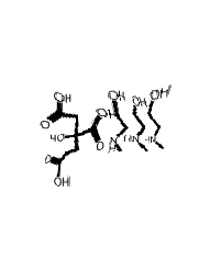 CNCCO.CNCCO.CNCCO.O=C(O)CC(O)(CC(=O)O)C(=O)O